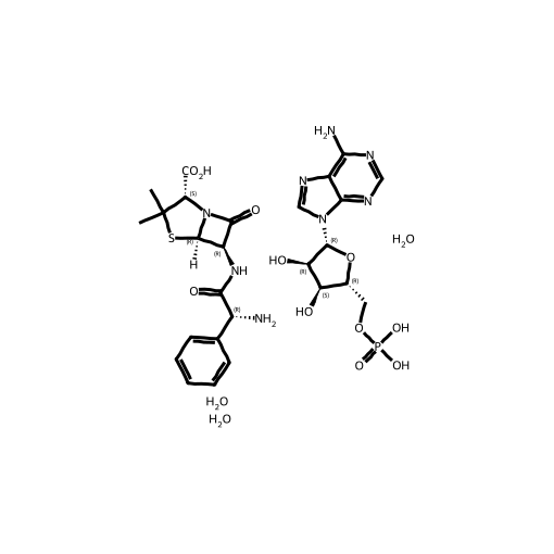 CC1(C)S[C@@H]2[C@H](NC(=O)[C@H](N)c3ccccc3)C(=O)N2[C@H]1C(=O)O.Nc1ncnc2c1ncn2[C@@H]1O[C@H](COP(=O)(O)O)[C@@H](O)[C@H]1O.O.O.O